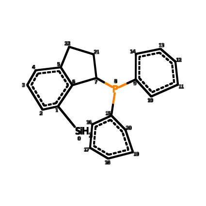 [SiH3]c1cccc2c1C(P(c1ccccc1)c1ccccc1)CC2